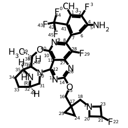 Cc1c(F)c(N)cc(-c2nc3c4c(nc(OCC5(CN6CC(F)C6)CC5)nc4c2F)N2C[C@H]4CC[C@H](N4)[C@H]2[C@H](C)O3)c1C(F)(F)F